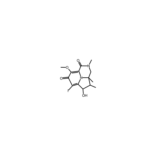 COc1c2n3c(c(I)c1=O)C(O)C(C)C3(C)CN(C)C2=O